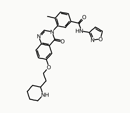 Cc1ccc(C(=O)Nc2ccon2)cc1-n1cnc2ccc(OCCC3CCCCN3)cc2c1=O